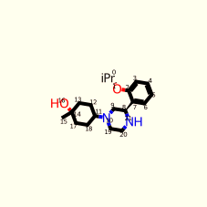 CC(C)Oc1ccccc1[C@@H]1CN(C2CCC(C)(O)CC2)CCN1